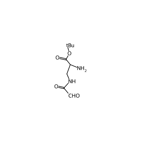 CC(C)(C)OC(=O)C(N)CNC(=O)C=O